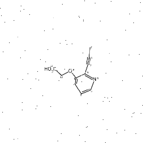 CC#Cc1ncccc1OCC(=O)O